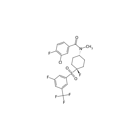 CN(C(=O)c1ccc(F)c(Cl)c1)[C@H]1CC[C@@](F)(S(=O)(=O)c2cc(F)cc(C(F)(F)F)c2)CC1